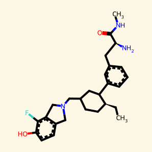 CC[C@H]1CCC(CN2Cc3ccc(O)c(F)c3C2)CC1c1cccc(C[C@H](N)C(=O)NC)c1